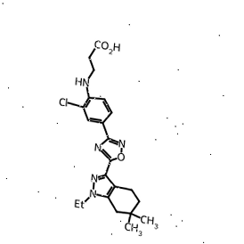 CCn1nc(-c2nc(-c3ccc(NCCC(=O)O)c(Cl)c3)no2)c2c1CC(C)(C)CC2